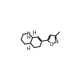 Cc1cc(C2=C[C@@H]3NCCC[C@@H]3CC2)on1